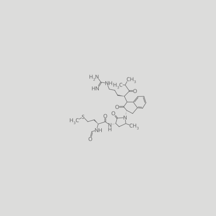 CSCC[C@H](NC=O)C(=O)N[C@H]1CC(C)N([C@H]2Cc3ccccc3C([C@@H](CCCNC(=N)N)C(=O)C(C)C)C2=O)C1=O